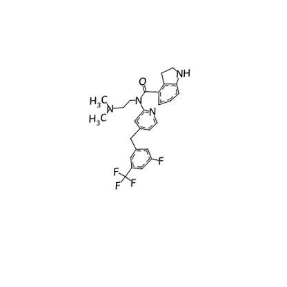 CN(C)CCN(C(=O)c1cccc2c1CCN2)c1cc(Cc2cc(F)cc(C(F)(F)F)c2)ccn1